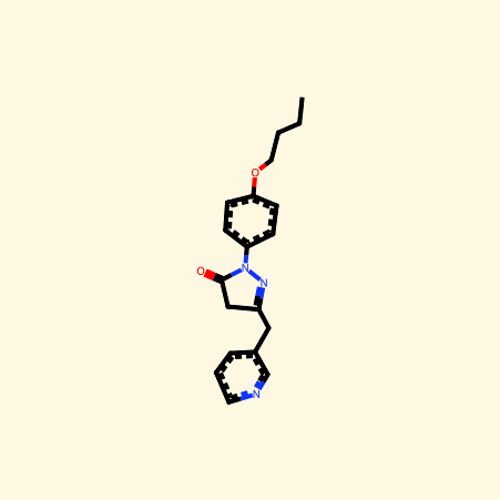 CCCCOc1ccc(N2N=C(Cc3cccnc3)CC2=O)cc1